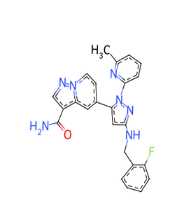 Cc1cccc(-n2nc(NCc3ccccc3F)cc2-c2ccn3ncc(C(N)=O)c3c2)n1